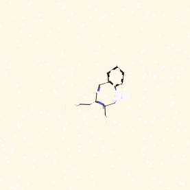 CCCC1=C(\CC)CNc2ccccc2/C=C\1